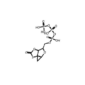 O=C1OC2C(COP(=O)(O)OP(=O)(O)OP(=O)(O)O)OC3CC32S1